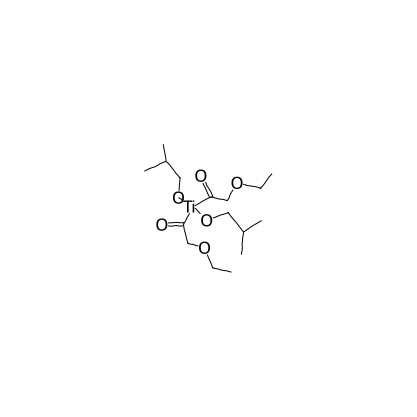 CCOC[C](=O)[Ti]([O]CC(C)C)([O]CC(C)C)[C](=O)COCC